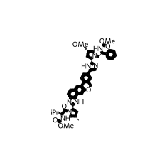 COC[C@H]1C[C@@H](c2ncc(-c3ccc4c(c3)COc3cc5c(ccc6nc([C@@H]7C[C@H](C)CN7C(=O)[C@@H](NC(=O)OC)C(C)C)[nH]c65)cc3-4)[nH]2)N(C[C@H](NC(=O)OC)c2ccccc2)C1